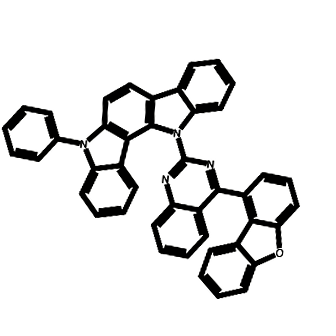 c1ccc(-n2c3ccccc3c3c2ccc2c4ccccc4n(-c4nc(-c5cccc6oc7ccccc7c56)c5ccccc5n4)c23)cc1